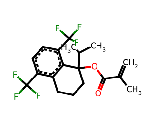 C=C(C)C(=O)OC1(C(C)C)CCCc2c(C(F)(F)F)ccc(C(F)(F)F)c21